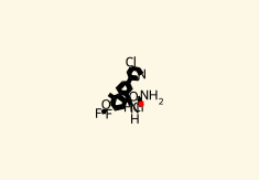 Cc1cc(C2(c3cccc(-c4cncc(Cl)c4)c3)CNCC(N)O2)ccc1OC(F)F.Cl